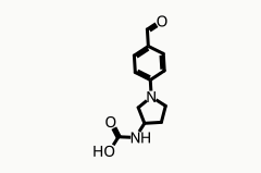 O=Cc1ccc(N2CCC(NC(=O)O)C2)cc1